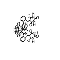 O=C1NC(=O)C(=c2c3ccccc3c(=C3C(=O)NC(=O)NC3=O)n2CCCn2c(=C3C(=O)NC(=O)NC3=O)c3ccccc3c2=C2C(=O)NC(=O)NC2=O)C(=O)N1